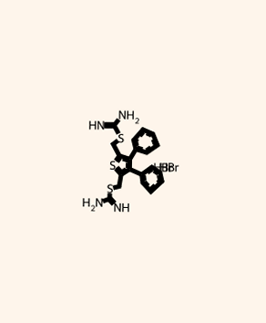 Br.Br.N=C(N)SCc1sc(CSC(=N)N)c(-c2ccccc2)c1-c1ccccc1